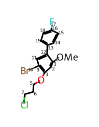 COc1cc(OCCCCl)c(Br)cc1-c1ccc(F)cc1